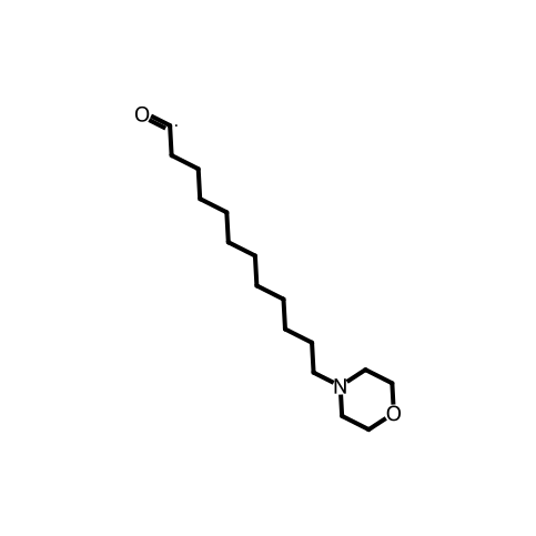 O=[C]CCCCCCCCCCCN1CCOCC1